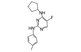 Cc1ccc(Nc2ncc(F)c(NC3CCCC3)n2)cc1